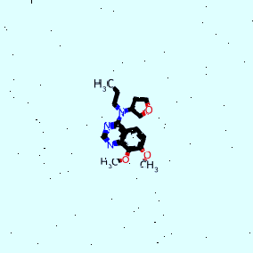 CCCN(c1ncnc2c(OC)c(OC)ccc12)C1CCOC1